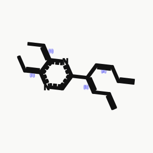 C=C/C=C\C(=C/C=C)c1cnc(=C/C)/c(=C\C)n1